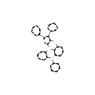 c1ccc(-c2sc3c(c2-c2ccccc2)Sc2cccc4c2B3c2ccccc2N4c2ccccc2)cc1